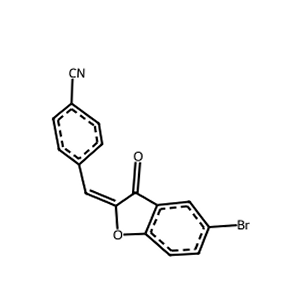 N#Cc1ccc(C=C2Oc3ccc(Br)cc3C2=O)cc1